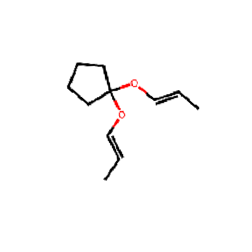 CC=COC1(OC=CC)CCCC1